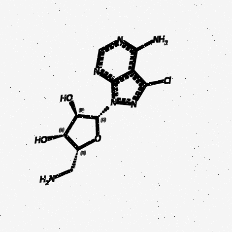 NC[C@H]1O[C@@H](n2nc(Cl)c3c(N)ncnc32)[C@H](O)[C@@H]1O